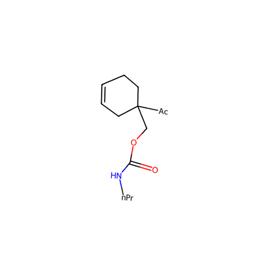 CCCNC(=O)OCC1(C(C)=O)CC=CCC1